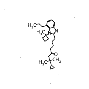 CCCc1cccc2nc(CCCCC(=O)CC(C)(C)C3CC3)n(C3(C)CCC3)c12